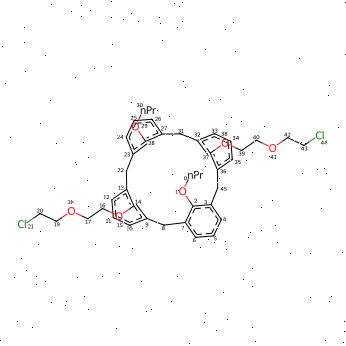 CCCOc1c2cccc1Cc1cccc(c1OCCOCCCl)Cc1cccc(c1OCCC)Cc1cccc(c1OCCOCCCl)C2